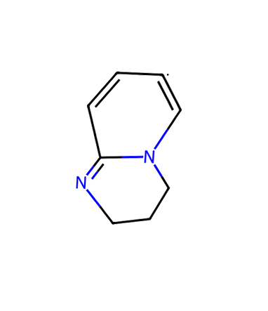 [C]1=CN2CCCN=C2C=C1